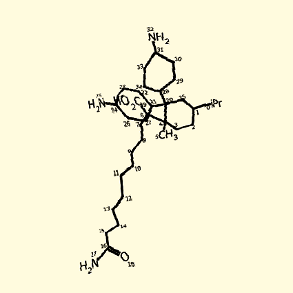 CC(C)C1CCC(C)(C(CCCCCCCCCC(N)=O)C(=O)O)C(C2CCC(N)CC2)(C2CCC(N)CC2)C1